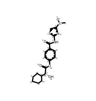 C[S+]([O-])c1csc(NC(=O)c2ccc(OC(=O)[C@H](O)C3CCCCC3)cc2)n1